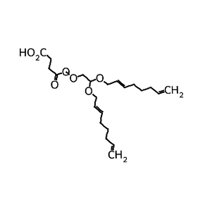 C=CCCCC=CCOC(COOC(=O)CCC(=O)O)OCC=CCCCC=C